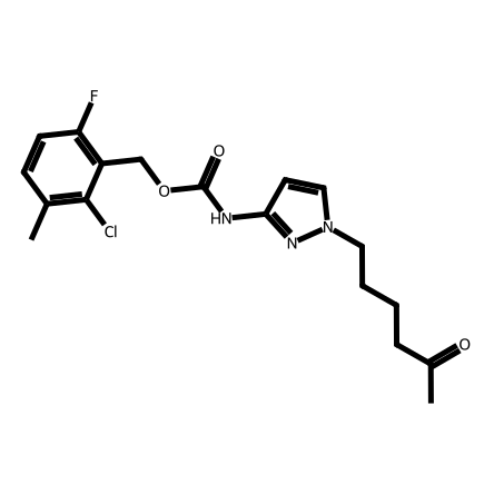 CC(=O)CCCCn1ccc(NC(=O)OCc2c(F)ccc(C)c2Cl)n1